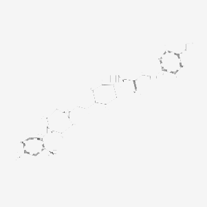 O=C(COc1ccc(F)cc1)NC1CCC(CCN2CCN(c3ccc(F)cc3F)CC2)CC1